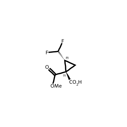 COC(=O)[C@@]1(C(=O)O)C[C@H]1C(F)F